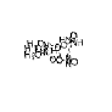 CCN(CC)CCCOc1ccc(-c2nc3ccccc3n2C/C=C/CC2(c3ccc(OCCCN(CC)CC)cc3)Nc3ccccc3N2)cc1